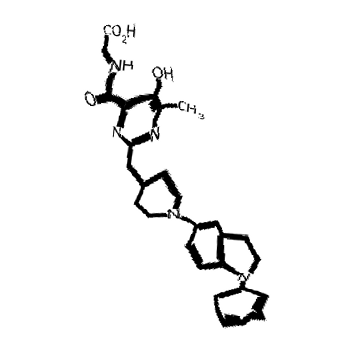 Cc1nc(CC2CCN(c3ccc4c(c3)CCN4c3ccccc3)CC2)nc(C(=O)NCC(=O)O)c1O